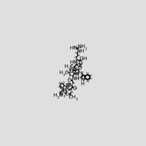 CC(C)C[C@H](NC(=O)CNC(=O)[C@H](CC(C)C)NC(=O)[C@@H]1CCCN1C(=O)CN)C(=O)N[C@@H](Cc1c[nH]c2ccccc12)C(=O)N[C@@H](C)C(=O)N[C@@H](CCCNC(=N)N)C(=O)O